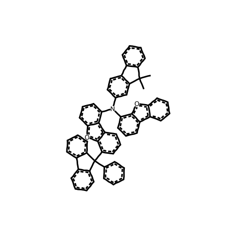 CC1(C)c2ccccc2-c2ccc(N(c3cccc4c3oc3ccccc34)c3cccc4oc5c(C6(c7ccccc7)c7ccccc7-c7ccccc76)cccc5c34)cc21